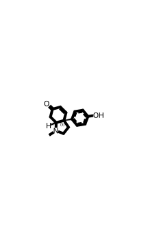 CN1CC[C@@]2(c3ccc(O)cc3)C=CC(=O)C[C@@H]12